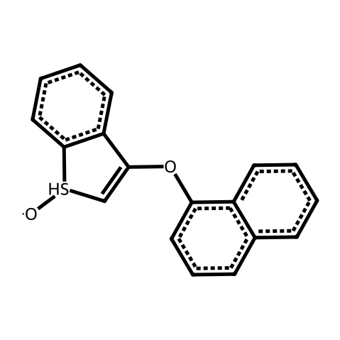 [O][SH]1C=C(Oc2cccc3ccccc23)c2ccccc21